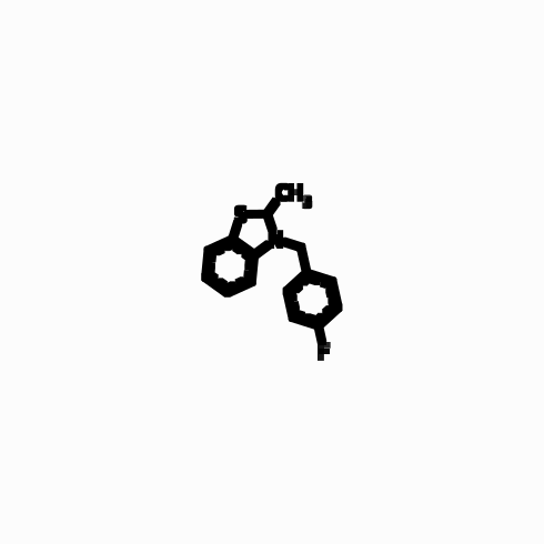 CC1Sc2ccccc2N1Cc1ccc(F)cc1